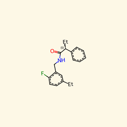 CCc1ccc(F)c(CNC(=O)[C@@H](CC)c2ccccc2)c1